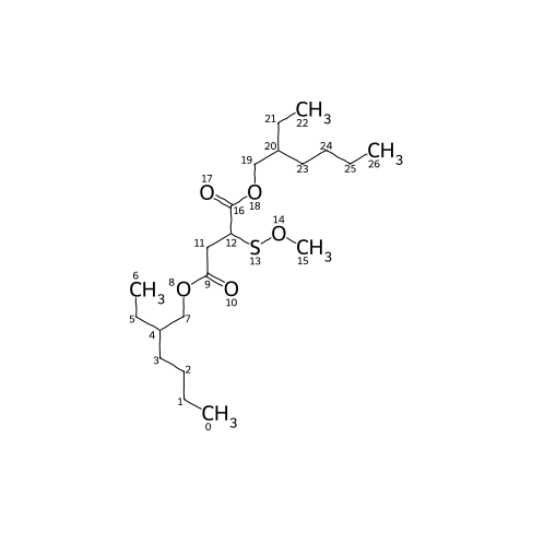 CCCCC(CC)COC(=O)CC(SOC)C(=O)OCC(CC)CCCC